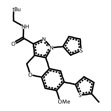 COc1cc2c(cc1-c1ccc(C)s1)-c1c(c(C(=O)NCC(C)(C)C)nn1-c1ccsc1)CO2